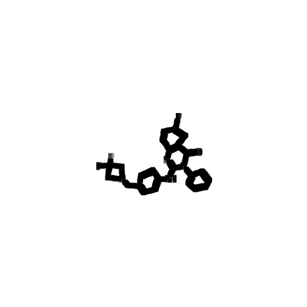 O=c1c2cc(F)ccc2nc(Nc2ccc(CN3CC(F)(F)C3)cc2)n1-c1ccccc1